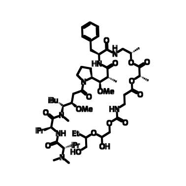 CCC(CO)OC(O)COC(=O)NCCC(=O)O[C@@H](C)C(=O)O[C@@H](C)CNC(=O)[C@H](Cc1ccccc1)NC(=O)[C@H](C)[C@@H](OC)[C@@H]1CCCN1C(=O)C[C@@H](OC)[C@H]([C@@H](C)CC)N(C)C(=O)[C@@H](NC(=O)[C@H](C(C)C)N(C)C)C(C)C